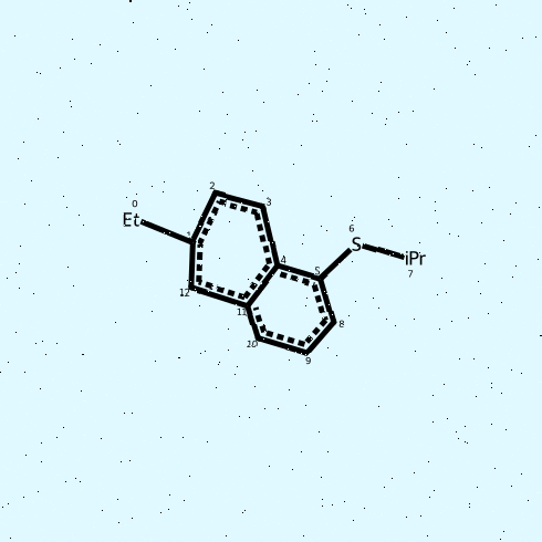 CCc1ccc2c(SC(C)C)cccc2c1